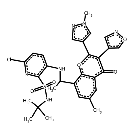 Cc1cc(C(C)Nc2ccc(Cl)nc2S(=O)(=O)NC(C)(C)C)c2oc(-c3cnn(C)c3)c(-c3cnoc3)c(=O)c2c1